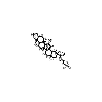 CC1(C(=O)OCC[Si](C)(C)C)CCC2(C)CCC3(C)C(=CC(=O)C4C5(C)CCC(O)C(C)(C)C5CCC43C)C2C1